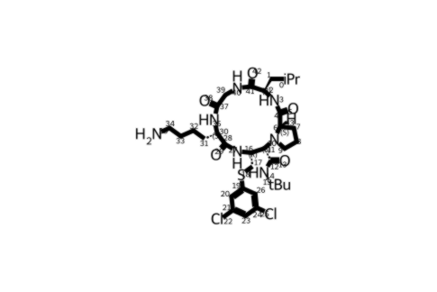 CC(C)C[C@H]1NC(=O)[C@@H]2CCCN2[C@H](C(=O)NC(C)(C)C)[C@H](CSc2cc(Cl)cc(Cl)c2)NC(=O)[C@H](CCCCN)NC(=O)CNC1=O